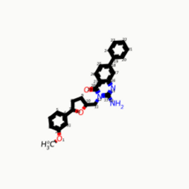 COc1cccc(C2CCC(Cn3c(N)nc4cc(-c5ccccc5)ccc4c3=O)O2)c1